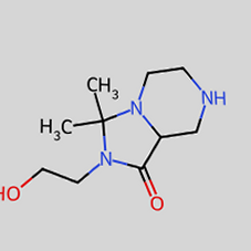 CC1(C)N(CCO)C(=O)C2CNCCN21